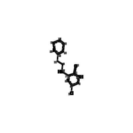 O=c1[nH]cc(Cl)nc1NCCc1ccccn1